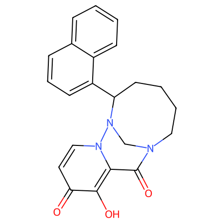 O=C1c2c(O)c(=O)ccn2N2CN1CCCCC2c1cccc2ccccc12